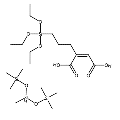 CCO[Si](CCC/C(=C/C(=O)O)C(=O)O)(OCC)OCC.C[SiH](O[Si](C)(C)C)O[Si](C)(C)C